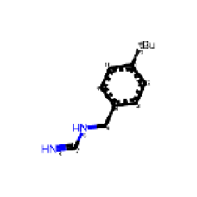 CC(C)(C)c1ccc(CN[C]=N)cc1